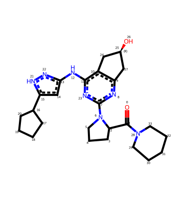 O=C(C1CCCN1c1nc2c(c(Nc3cc(C4CCCC4)[nH]n3)n1)C[C@@H](O)C2)N1CCCCC1